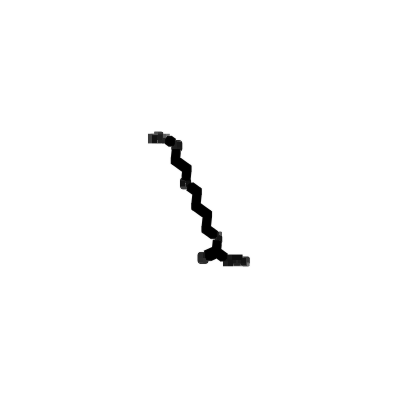 CCCCOCCOCCCCSC(=O)NC